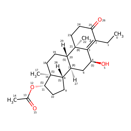 CCC1=C2[C@@H](O)C[C@H]3[C@@H]4CC[C@H](OC(C)=O)[C@@]4(C)CC[C@@H]3[C@@]2(C)CCC1=O